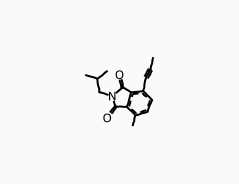 CC#Cc1ccc(C)c2c1C(=O)N(CC(C)C)C2=O